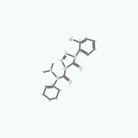 CN(C)N(C(=O)n1nnn(-c2ccccc2Br)c1=O)C1=CCCCC1